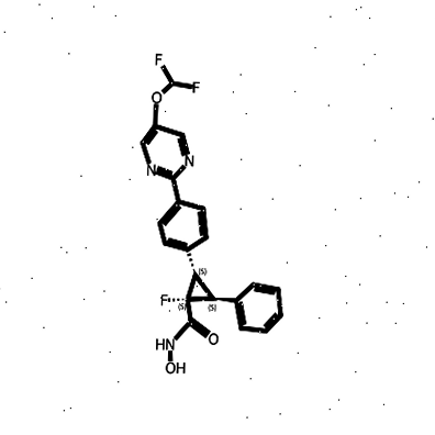 O=C(NO)[C@]1(F)[C@H](c2ccccc2)[C@H]1c1ccc(-c2ncc(OC(F)F)cn2)cc1